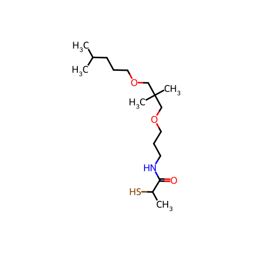 CC(C)CCCOCC(C)(C)COCCCNC(=O)C(C)S